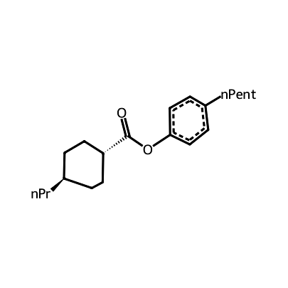 CCCCCc1ccc(OC(=O)[C@H]2CC[C@H](CCC)CC2)cc1